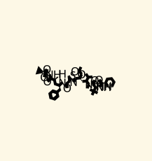 CC(=O)O[C@H](CC(C(C)C)N(C)C(=O)[C@@H](NC(=O)[C@H]1CCCCN1)C(C)(C)C)c1nc(C(=O)N[C@@H](Cc2ccccc2)C[C@H](C)C(=O)NS(=O)(=O)C2CC2)cs1